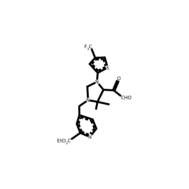 CCOC(=O)c1cc(CN2CN(c3cc(C(F)(F)F)cs3)C(C(=O)C=O)C2(C)C)ccn1